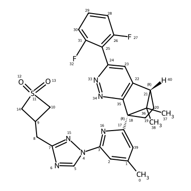 Cc1cc(-n2cnc(CC3CS(=O)(=O)C3)n2)nc([C@]23CC[C@@H](c4cc(-c5c(F)cccc5F)nnc42)C3(C)C)c1